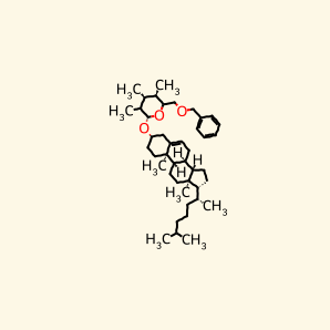 CC(C)CCC[C@@H](C)[C@H]1CC[C@H]2[C@@H]3CC=C4C[C@@H](O[C@H]5OC(COCc6ccccc6)[C@H](C)[C@H](C)C5C)CC[C@]4(C)[C@H]3CC[C@]12C